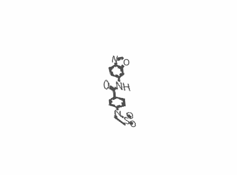 O=C(Nc1ccc2ncoc2c1)c1ccc(N2CCS2(=O)=O)cc1